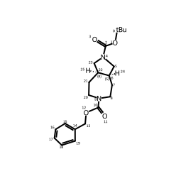 CC(C)(C)OC(=O)N1C[C@H]2CCN(C(=O)OCc3ccccc3)CC[C@H]2C1